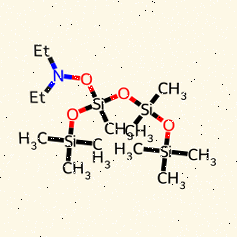 CCN(CC)O[Si](C)(O[Si](C)(C)C)O[Si](C)(C)O[Si](C)(C)C